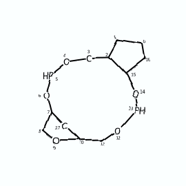 C1CC2COPOC3COC(COPOC2C1)C3